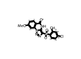 COc1ccc2c(=O)[nH]c3c(S(=O)(=O)c4ccc(Cl)cc4C)nnn3c2c1